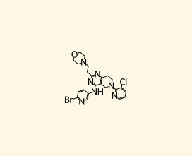 Clc1cccnc1N1CCc2nc(CCN3CCOCC3)nc(Nc3ccc(Br)nc3)c2C1